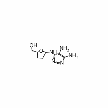 Nc1ncnc(NC2CC[C@@H](CO)O2)c1N